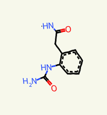 [NH]C(=O)Cc1ccccc1NC(N)=O